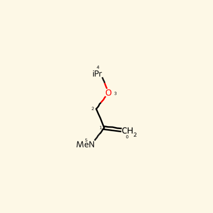 C=C(COC(C)C)NC